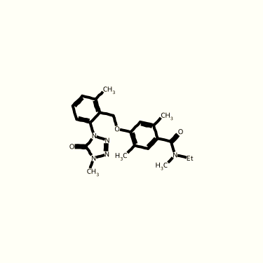 CCN(C)C(=O)c1cc(C)c(OCc2c(C)cccc2-n2nnn(C)c2=O)cc1C